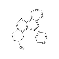 C1=CNCC=N1.C[C@@H]1CCc2ccc3c(ccc4ccccc43)c2C1